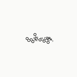 CC1(C)c2ccccc2-c2ccc(-c3ccc(-c4nc(-c5ccccc5)nc(-c5cccc6c5ccc5c7ccccc7ccc65)n4)cc3)cc2C1(C)C